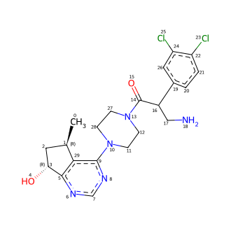 C[C@@H]1C[C@@H](O)c2ncnc(N3CCN(C(=O)C(CN)c4ccc(Cl)c(Cl)c4)CC3)c21